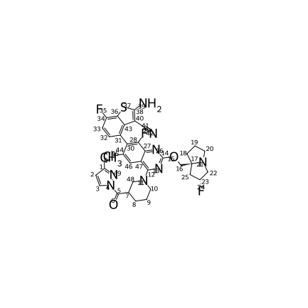 Cc1ccn(C(=O)C2CCCN(c3nc(OC[C@@]45CCCN4C[C@H](F)C5)nc4c(F)c(-c5ccc(F)c6sc(N)c(C#N)c56)c(Cl)cc34)C2)n1